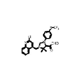 CC1(C)C(C(=O)C=O)N(c2ccc(SC(F)(F)F)cc2)CN1Cc1cc(Cl)nc2ccccc12